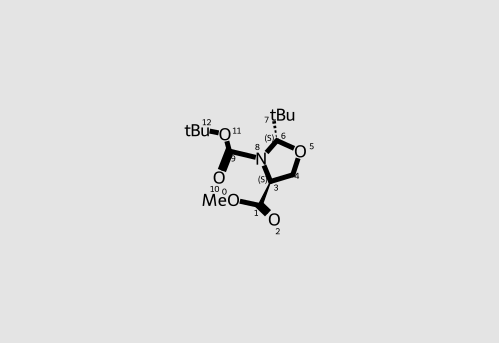 COC(=O)[C@@H]1CO[C@@H](C(C)(C)C)N1C(=O)OC(C)(C)C